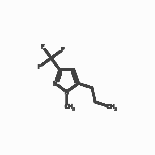 CCCc1cc(C(F)(F)F)nn1C